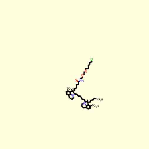 CC1(CCCCS(=O)(=O)O)C(/C=C/C=C/C=C2\N3CCCc4ccc(S(=O)(=O)O)c(c43)C2(C)CCCCCC(=O)NCCOCCOCCCCCCCl)=[N+]2CCCc3ccc(S(=O)(=O)O)c1c32